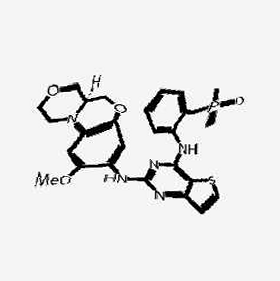 COc1cc2c(cc1Nc1nc(Nc3ccccc3P(C)(C)=O)c3sccc3n1)OC[C@@H]1COCCN21